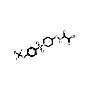 O=C(O)C(=O)NOC1CCN(S(=O)(=O)c2ccc(OC(F)(F)F)cc2)CC1